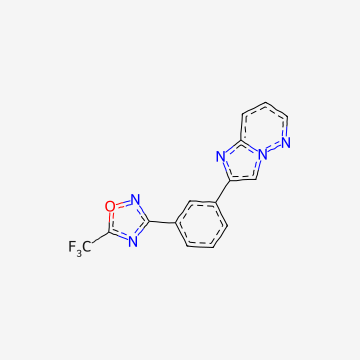 FC(F)(F)c1nc(-c2cccc(-c3cn4ncccc4n3)c2)no1